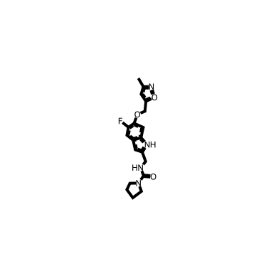 Cc1cc(COc2cc3[nH]c(CNC(=O)N4CCCC4)cc3cc2F)on1